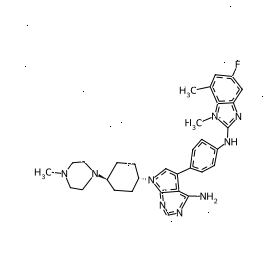 Cc1cc(F)cc2nc(Nc3ccc(-c4cn([C@H]5CC[C@H](N6CCN(C)CC6)CC5)c5ncnc(N)c45)cc3)n(C)c12